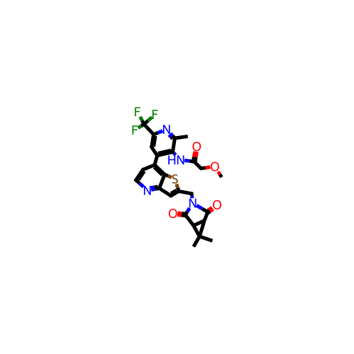 COCC(=O)Nc1c(-c2ccnc3cc(CN4C(=O)C5C(C4=O)C5(C)C)sc23)cc(C(F)(F)F)nc1C